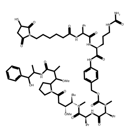 CC[C@H](C)[C@@H]([C@@H](CC(=O)N1CCCC1C(OC)C(C)C(=O)NC(C)C(O)c1ccccc1)OC)N(C)C(=O)[C@@H](NC(=O)[C@H](C(C)C)N(C)C(=O)OCc1ccc(NC(=O)[C@H](CCCNC(N)=O)NC(=O)C(NC(=O)CCCCCN2C(=O)CC(S)C2=O)C(C)C)cc1)C(C)C